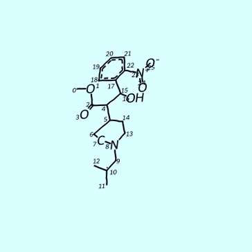 COC(=O)C(C1CCN(C[C](C)C)CC1)C(O)c1ccccc1[N+](=O)[O-]